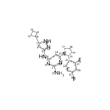 Nc1nc(Nc2cc(C3CCC3)[nH]n2)cc(N2CCCC2c2ccc(F)cc2F)n1